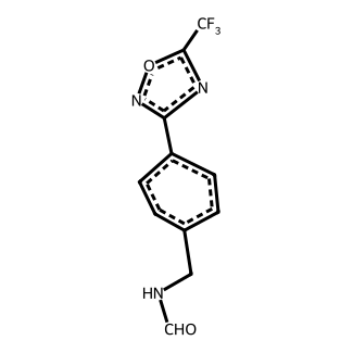 O=CNCc1ccc(-c2noc(C(F)(F)F)n2)cc1